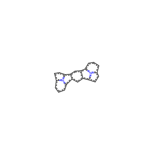 c1cc2ccc3c4cc5c(cc4c(c1)n23)c1ccc2cccc5n21